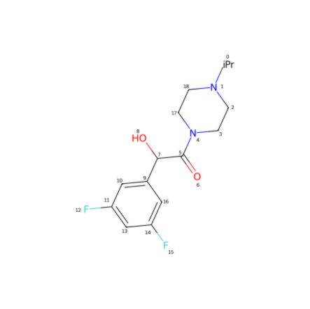 CC(C)N1CCN(C(=O)C(O)c2cc(F)cc(F)c2)CC1